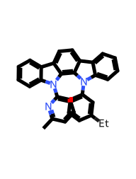 CCc1cccc(-n2c3ccccc3c3ccc4c5ccccc5n(-c5cccc(C)n5)c4c32)c1